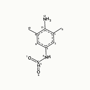 Cc1cc(N[SH](=O)=O)cc(C)c1N